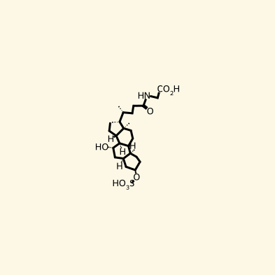 C[C@H](CCC(=O)NCC(=O)O)[C@H]1CC[C@H]2[C@@H]3[C@@H](O)C[C@@H]4C[C@H](OS(=O)(=O)O)CC[C@]4(C)[C@H]3CC[C@]12C